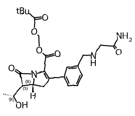 C[C@@H](O)[C@H]1C(=O)N2C(C(=O)OCOC(=O)C(C)(C)C)=C(c3cccc(CNCC(N)=O)c3)C[C@H]12